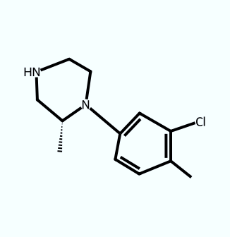 Cc1ccc(N2CCNC[C@H]2C)cc1Cl